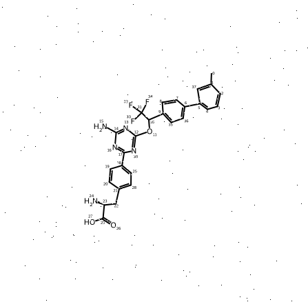 Cc1cccc(-c2ccc(C(Oc3nc(N)nc(-c4ccc(C[C@H](N)C(=O)O)cc4)n3)C(F)(F)F)cc2)c1